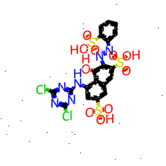 O=S(=O)(O)c1cc(Nc2nc(Cl)nc(Cl)n2)c2c(O)c(/N=N/c3ccccc3S(=O)(=O)O)c(S(=O)(=O)O)cc2c1